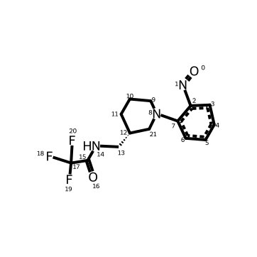 O=Nc1ccccc1N1CCC[C@@H](CNC(=O)C(F)(F)F)C1